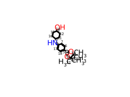 CC1(C)OB(c2ccc(N[C@H]3CC[C@H](O)CC3)cc2)OC1(C)C